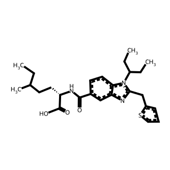 CCC(C)CC[C@H](NC(=O)c1ccc2c(c1)nc(Cc1cccs1)n2C(CC)CC)C(=O)O